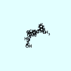 COC(=O)C(C)(CCCNCCCCO)c1ccc(OCc2cc(C)nc3ccccc23)cc1